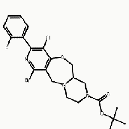 CC(C)(C)OC(=O)N1CCN2Cc3c(Br)nc(-c4ccccc4F)c(Cl)c3OCC2C1